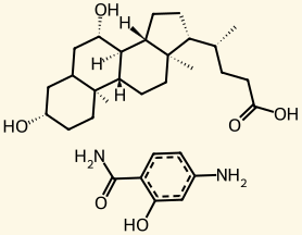 C[C@H](CCC(=O)O)[C@H]1CC[C@H]2[C@@H]3[C@@H](O)CC4C[C@@H](O)CC[C@]4(C)[C@H]3CC[C@]12C.NC(=O)c1ccc(N)cc1O